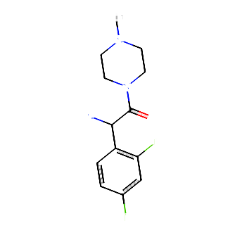 CC(C)N1CCN(C(=O)C(N)c2ccc(F)cc2F)CC1